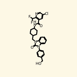 O=C(NC1CCC(Cn2c(=O)n(-c3ccc(CO)cc3)c3ccccc32)CC1)c1cc(Cl)cnc1C(F)F